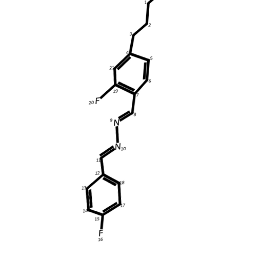 CCCCc1ccc(C=NN=Cc2ccc(F)cc2)c(F)c1